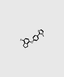 Cn1ccnc1-c1ccc(Oc2ccc(F)c3c2CCC3)cc1